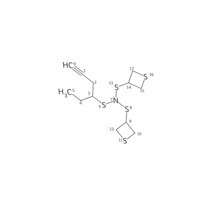 C#CCC(CC)SN(SC1CSC1)SC1CSC1